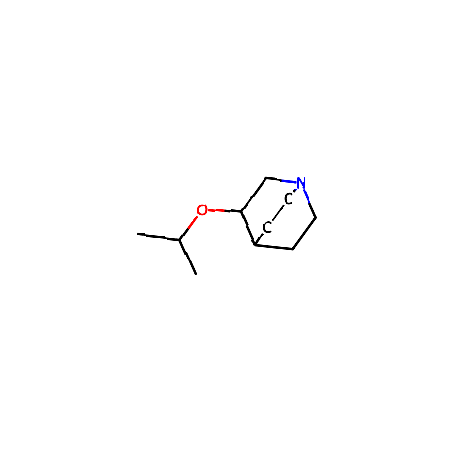 CC(C)OC1CN2CCC1CC2